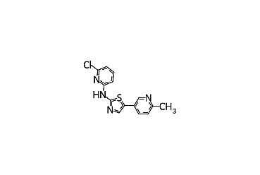 Cc1ccc(-c2cnc(Nc3cccc(Cl)n3)s2)cn1